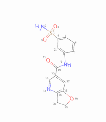 NS(=O)(=O)c1cccc(NC(=O)c2cnc3c(c2)OCC3)c1